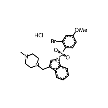 COc1ccc(S(=O)(=O)n2cc(CN3CCN(C)CC3)c3ccccc32)c(Br)c1.Cl